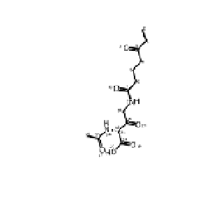 CCC(=O)CCCC(=O)NCC(=O)[C@@H](NC(C)=O)C(=O)O